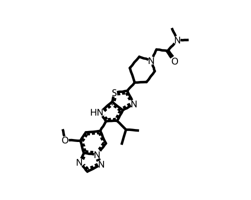 COc1cc(-c2[nH]c3sc(C4CCN(CC(=O)N(C)C)CC4)nc3c2C(C)C)cn2ncnc12